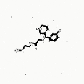 COCCNC(=O)CO[C@@H](c1cccc(Cl)c1)[C@@H]1CCCNC1